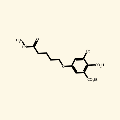 CCOC(=O)c1cc(OCCCCC(=O)NN)cc(CC)c1C(=O)O